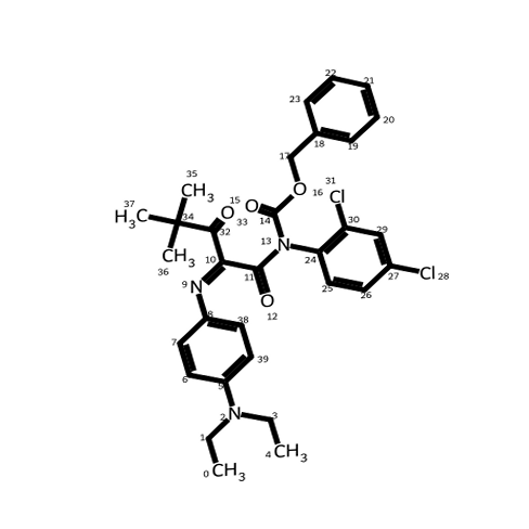 CCN(CC)c1ccc(N=C(C(=O)N(C(=O)OCc2ccccc2)c2ccc(Cl)cc2Cl)C(=O)C(C)(C)C)cc1